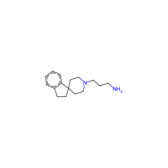 NCCCN1CCC2(CCc3ccccc32)CC1